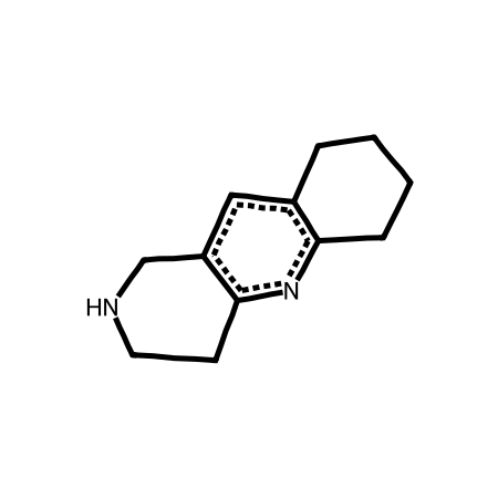 c1c2c(nc3c1CNCC3)CCCC2